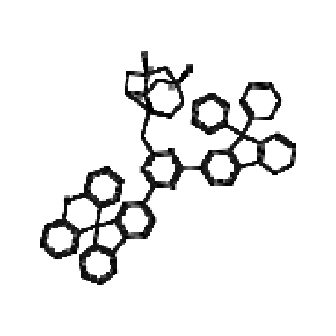 C1=CCCC(C2(c3ccccc3)C3=C(CCC=C3)c3ccc(-c4nc(CC5C6C[C@H]7C[C@H]8CC5[C@@]8(C6)C7)nc(-c5ccc6c(c5)C5(c7ccccc7Oc7ccccc75)c5ccccc5-6)n4)cc32)=C1